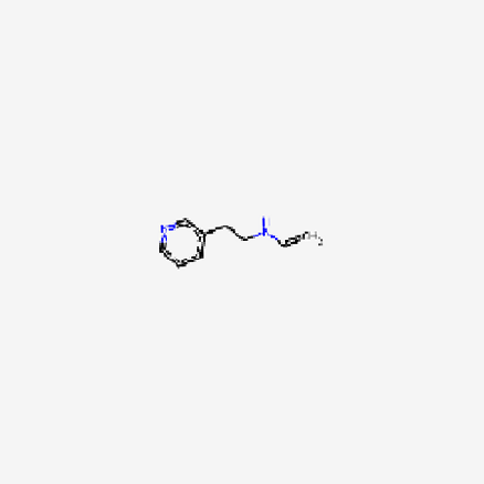 C=CNCCc1cccnc1